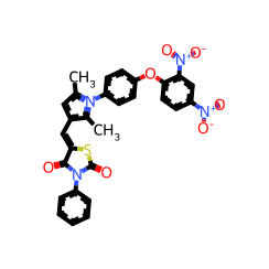 Cc1cc(C=C2SC(=O)N(c3ccccc3)C2=O)c(C)n1-c1ccc(Oc2ccc([N+](=O)[O-])cc2[N+](=O)[O-])cc1